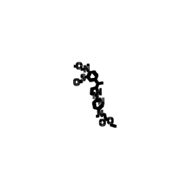 CCOC(=O)CN(C)c1ccc(-n2ccc(C(C)c3ccc(N(C)COC)c(SC=O)c3)n2)nc1